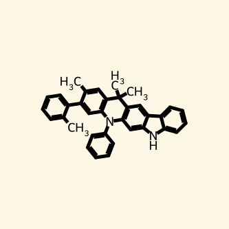 Cc1ccccc1-c1cc2c(cc1C)C(C)(C)c1cc3c(cc1N2c1ccccc1)[nH]c1ccccc13